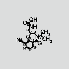 CC(C)N1CC(CNC(=O)O)Oc2c(C#N)cccc2C1=O